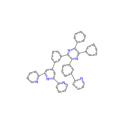 c1ccc(-c2nc(-c3cccc(-c4cc(-c5ccccn5)nc(-c5ccccn5)c4)c3)c(-c3cccc(-c4ccccn4)c3)nc2-c2ccccc2)cc1